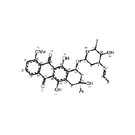 CC=NC1CC(O[C@H]2C[C@](O)(C(C)=O)Cc3c(O)c4c(c(O)c32)C(=O)c2c(OC)cccc2C4=O)OC(C)C1O